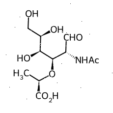 CC(=O)N[C@@H](C=O)[C@@H](O[C@H](C)C(=O)O)[C@@H](O)[C@H](O)CO